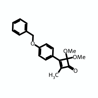 COC1(OC)C(=O)C(C)=C1c1ccc(OCc2ccccc2)cc1